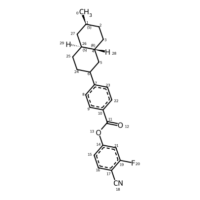 C[C@H]1CC[C@@H]2CC(c3ccc(C(=O)Oc4ccc(C#N)c(F)c4)cc3)CC[C@H]2C1